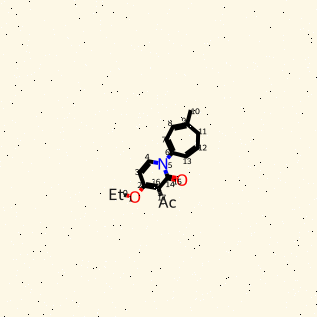 CCOc1ccn(C2=CC=C(C)CC=C2)c(=O)c1C(C)=O